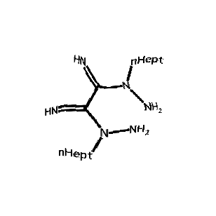 CCCCCCCN(N)C(=N)C(=N)N(N)CCCCCCC